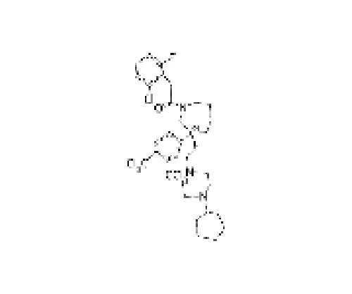 O=C(Cc1c(F)cccc1Cl)N1CCCC[C@](CCN2CCN(C3CCCCC3)CC2)(c2ccc(C(Cl)(Cl)Cl)c(C(Cl)(Cl)Cl)c2)C1